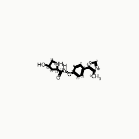 Cc1ncsc1-c1ccc(ONC(=O)C2CC(O)CN2)cc1